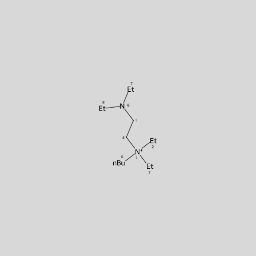 CCCC[N+](CC)(CC)CCN(CC)CC